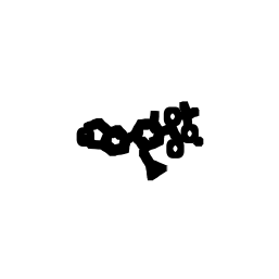 COC(=O)C(OC(C)(C)C)c1cc(CC2CC2)c(-c2ccc3c(c2)CCOC3)cc1C